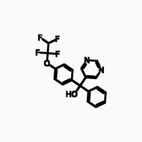 OC(c1ccccc1)(c1ccc(OC(F)(F)C(F)F)cc1)c1cncnc1